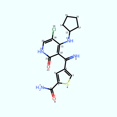 N=C(c1csc(C(N)=O)c1)c1c(NC2CCCC2)c(Cl)c[nH]c1=O